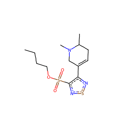 CCCCOS(=O)(=O)c1nsnc1C1=CCC(C)N(C)C1